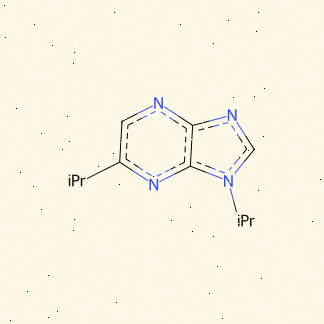 CC(C)c1cnc2ncn(C(C)C)c2n1